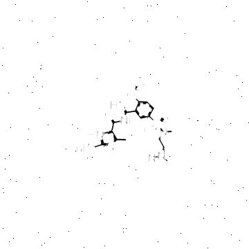 CCCc1nc(C)c(C(=O)NC(=N)c2cc(S(=O)(=O)N(C)CCN(C)N)ccc2OCC)[nH]1